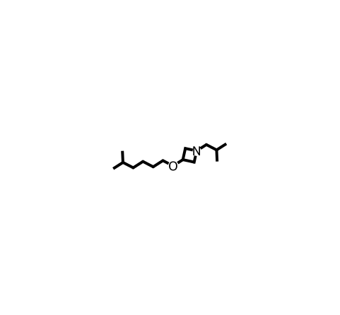 CC(C)CCCCOC1CN(CC(C)C)C1